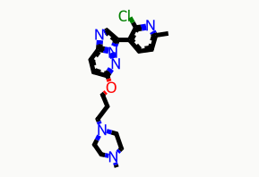 Cc1ccc(-c2cnc3ccc(OCCCN4CCN(C)CC4)nn23)c(Cl)n1